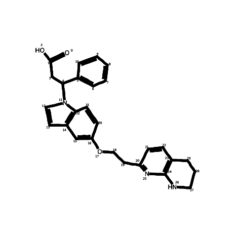 O=C(O)CC(c1ccccc1)n1ccc2cc(OCCc3ccc4c(n3)NCCC4)ccc21